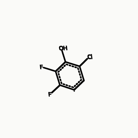 Oc1c(Cl)c[c]c(F)c1F